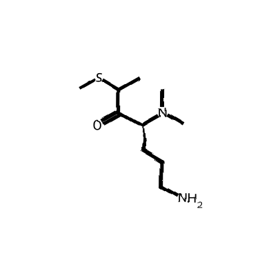 CSC(C)C(=O)[C@H](CCCN)N(C)C